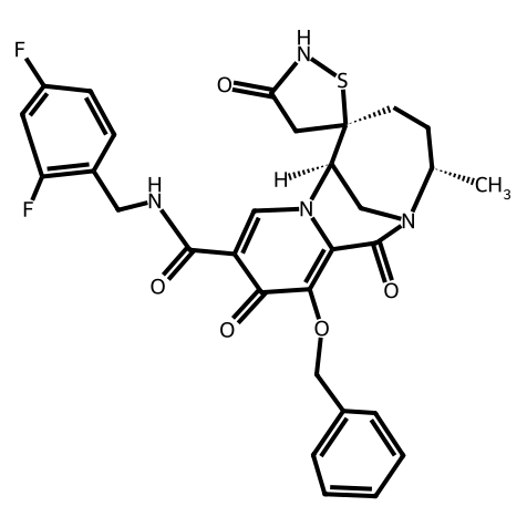 C[C@H]1CC[C@@]2(CC(=O)NS2)[C@H]2CN1C(=O)c1c(OCc3ccccc3)c(=O)c(C(=O)NCc3ccc(F)cc3F)cn12